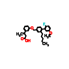 CCCCCc1cc(COc2cccc([C@@H](C)CC(=O)O)c2)ccc1-c1cc(OC)ccc1F